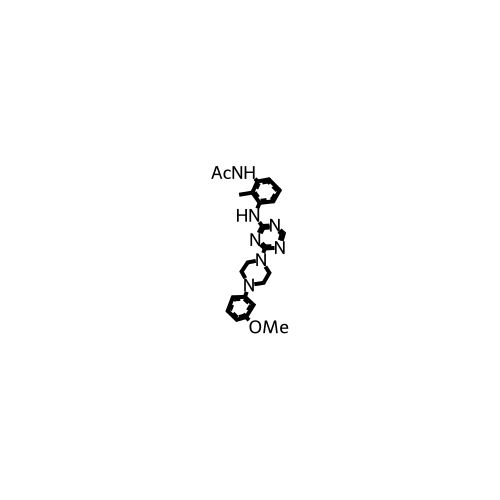 COc1cccc(N2CCN(c3ncnc(Nc4cccc(NC(C)=O)c4C)n3)CC2)c1